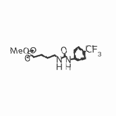 COS(=O)(=O)CCCCNC(=O)Nc1ccc(C(F)(F)F)cc1